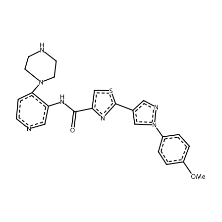 COc1ccc(-n2cc(-c3nc(C(=O)Nc4cnccc4N4CCNCC4)cs3)cn2)cc1